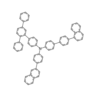 c1ccc(-c2ccc(-c3ccccc3)c(-c3ccc(N(c4ccc(-c5ccc(-c6cccc7ccccc67)cc5)cc4)c4ccc(-c5ccc6ccccc6c5)cc4)cc3)c2)cc1